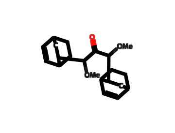 COC(C(=O)C(OC)C1CC2C=CC1CC2)C1CC2C=CC1CC2